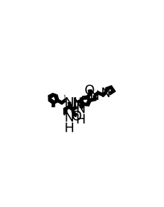 Cc1ccccc1C[C@H](C)Nc1cc[nH]c(=O)c1-c1nc2cc3c(cc2[nH]1)CN(CCN1CCCC1)C3=O